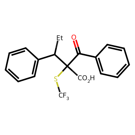 CCC(c1ccccc1)C(SC(F)(F)F)(C(=O)O)C(=O)c1ccccc1